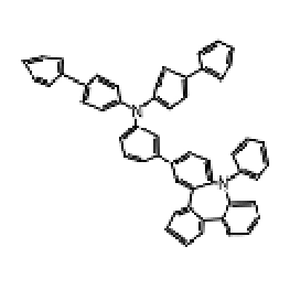 c1ccc(-c2ccc(N(c3ccc(-c4ccccc4)cc3)c3cccc(-c4ccc5c(c4)-c4ccccc4-c4ccccc4N5c4ccccc4)c3)cc2)cc1